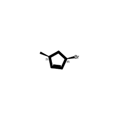 C[C@@H]1C=C[C@H](Br)C1